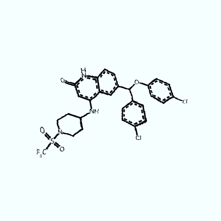 O=c1cc(NC2CCN(S(=O)(=O)C(F)(F)F)CC2)c2cc(C(Oc3ccc(Cl)cc3)c3ccc(Cl)cc3)ccc2[nH]1